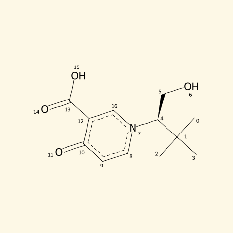 CC(C)(C)[C@H](CO)n1ccc(=O)c(C(=O)O)c1